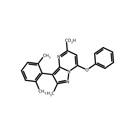 Cc1cccc(C)c1-c1c(C)nn2c(Oc3ccccc3)cc(C(=O)O)nc12